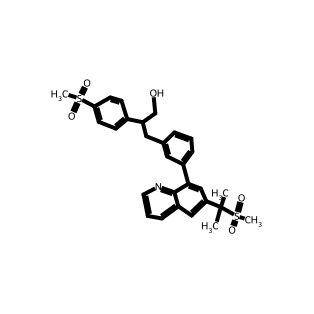 CC(C)(c1cc(-c2cccc(CC(CO)c3ccc(S(C)(=O)=O)cc3)c2)c2ncccc2c1)S(C)(=O)=O